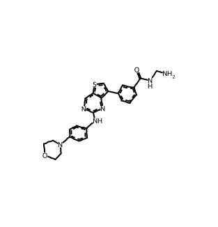 NCNC(=O)c1cccc(-c2csc3cnc(Nc4ccc(N5CCOCC5)cc4)nc23)c1